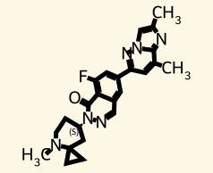 Cc1cn2nc(-c3cc(F)c4c(=O)n([C@H]5CCN(C)C6(CC6)C5)ncc4c3)cc(C)c2n1